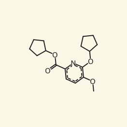 COc1ccc(C(=O)OC2CCCC2)nc1OC1CCCC1